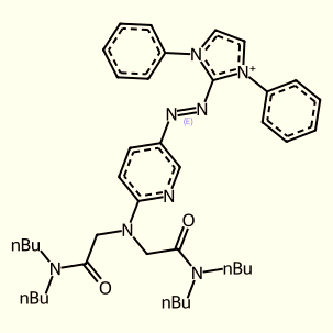 CCCCN(CCCC)C(=O)CN(CC(=O)N(CCCC)CCCC)c1ccc(/N=N/c2n(-c3ccccc3)cc[n+]2-c2ccccc2)cn1